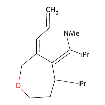 C=C/C=C1/COCCC(C(C)C)/C1=C(/NC)C(C)C